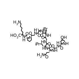 CC(C)CC[C@@H](NC(=O)[C@@H](CCC(N)=O)NC(=O)CNC(=O)[C@H]1C[C@H](O)CN1)C(=O)NCC(=O)N[C@H](CC(C)C)C(=O)N[C@H](C)C(=O)NCC(=O)N1CCC[C@@H]1C(=O)N[C@H](CCCCCN)C(=O)O